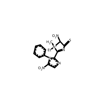 CC[N+]1(C)C(c2ncc([N+](=O)[O-])n2-c2ccccc2)=NC(=S)C1[N+](=O)[O-]